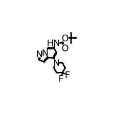 CC(C)(C)OC(=O)Nc1cc(N2CCC(F)(F)CC2)c2ccnn2c1